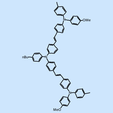 CCCCc1ccc(N(c2ccc(/C=C/c3ccc(N(c4ccc(C)cc4)c4ccc(OC)cc4)cc3)cc2)c2ccc(/C=C/c3ccc(N(c4ccc(C)cc4)c4ccc(OC)cc4)cc3)cc2)cc1